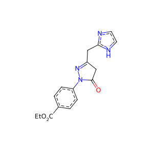 CCOC(=O)c1ccc(N2N=C(Cc3ncc[nH]3)CC2=O)cc1